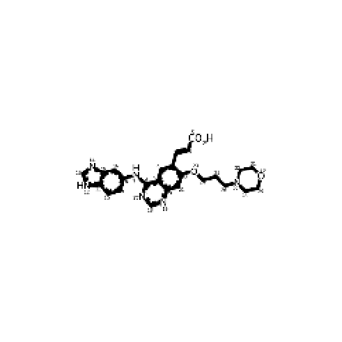 O=C(O)C=Cc1cc2c(Nc3ccc4[nH]cnc4c3)ncnc2cc1OCCCN1CCOCC1